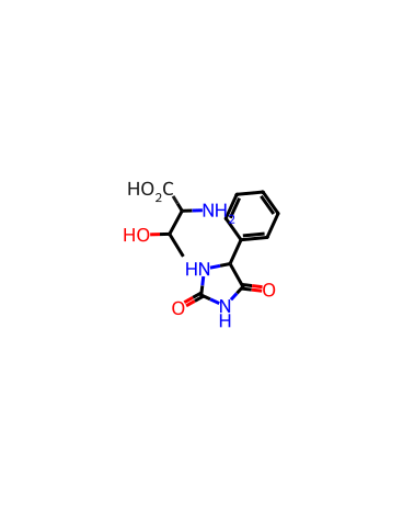 CC(O)C(N)C(=O)O.O=C1NC(=O)C(c2ccccc2)N1